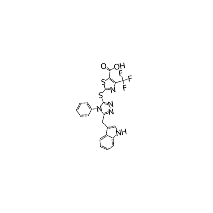 O=C(O)c1sc(Sc2nnc(Cc3c[nH]c4ccccc34)n2-c2ccccc2)nc1C(F)(F)F